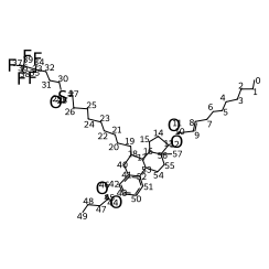 CCCCCCCC/C=C/C(=O)OC1CCC2C3C(CCCCCCCCC[S+]([O-])CCCC(F)(F)C(F)(F)F)Cc4cc(OC(=O)CCC)ccc4C3CCC12C